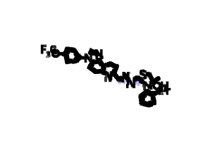 CC(C)c1ccccc1N1/C(=N/N=C/c2ccc3c(ccc4c3ncn4-c3ccc(OC(F)(F)F)cc3)n2)SCC1(C)O